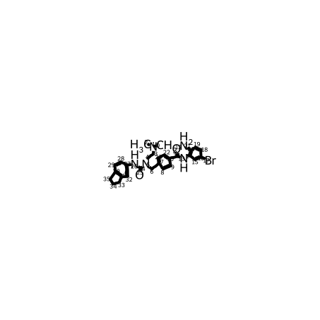 CN(C)CCN(Cc1ccc(C(=O)Nc2cc(Br)ccc2N)cc1)C(=O)Nc1ccc2c(c1)CCC2